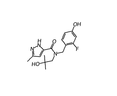 Cc1cc(C(=O)N(Cc2ccc(O)cc2F)CC(C)(C)O)[nH]n1